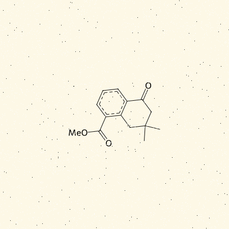 COC(=O)c1cccc2c1CC(C)(C)CC2=O